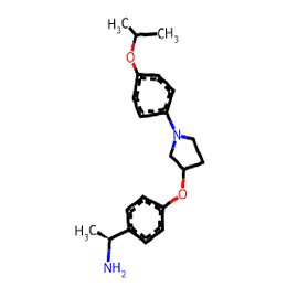 CC(C)Oc1ccc(N2CCC(Oc3ccc([C@H](C)N)cc3)C2)cc1